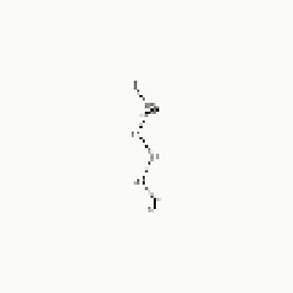 C[Si]CCCF